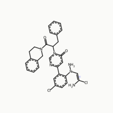 N/C(Cl)=C\N(N)c1ccc(Cl)cc1-c1cc(=O)n(C(Cc2ccccc2)C(=O)N2CCc3ccccc3C2)cn1